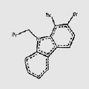 CC(C)Cn1c2ccccc2c2ccc(Br)c(Br)c21